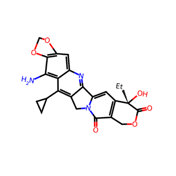 CC[C@@]1(O)C(=O)OCc2c1cc1n(c2=O)Cc2c-1nc1cc3c(c(N)c1c2C1CC1)OCO3